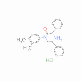 Cc1ccc(N(C=Cc2ccccc2)C(=O)[C@@H](N)c2ccccc2)cc1C.Cl